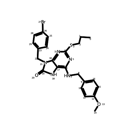 CCCSc1nc(NCc2ccc(OC)cc2)c2[nH]c(=O)n(Cc3ccc(Br)cc3)c2n1